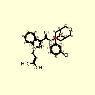 CC(C)=CCn1nc(C(=O)NC2CC3COCC(C2)N3Cc2cccc(Cl)c2)c2ccccc21